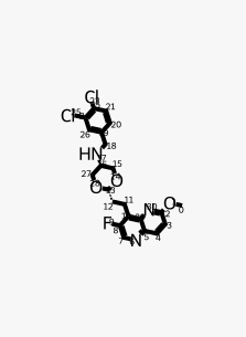 COc1ccc2ncc(F)c(CC[C@H]3OC[C@H](NCc4ccc(Cl)c(Cl)c4)CO3)c2n1